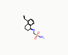 C=Cc1cccc2c1CCCC2=NCS(N)(=O)=O